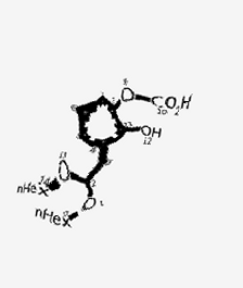 CCCCCCOC(Cc1cccc(OC(=O)O)c1O)OCCCCCC